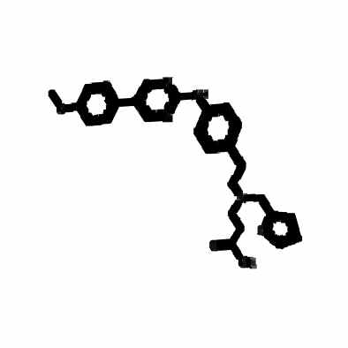 COc1ccc(-c2cnc(Nc3ccc(CCN(CCC(=O)O)Cc4ccco4)cc3)nc2)cc1